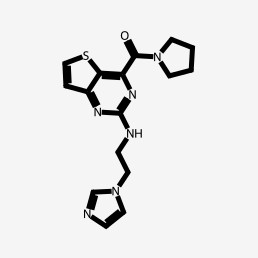 O=C(c1nc(NCCn2ccnc2)nc2ccsc12)N1CCCC1